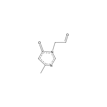 Cc1cc(=O)n(CC=O)cn1